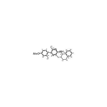 COc1ccc(-c2nc(C)c(NC3CCCc4ccccc43)nc2C)c(C)c1